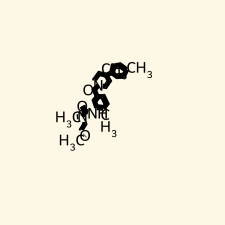 COCCN(C)C(=O)Nc1cc(C(=O)N2CCC(C)(c3ccc(C)cc3)CC2)ccc1C